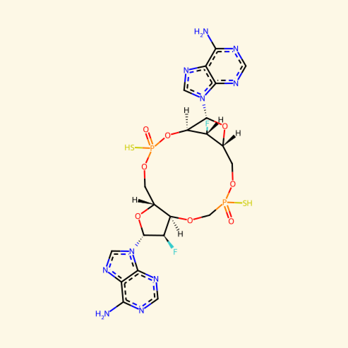 Nc1ncnc2c1ncn2[C@@H]1O[C@@H]2COP(=O)(S)O[C@@H]3[C@H](F)[C@@H](COP(=O)(S)CO[C@H]2[C@H]1F)O[C@H]3n1cnc2c(N)ncnc21